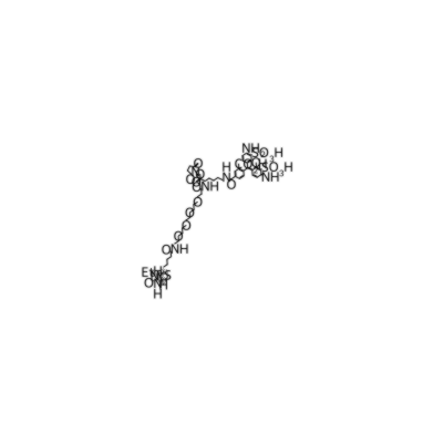 CCN1C(=O)N[C@H]2CS[C@@H](CCCCC(=O)NCCOCCOCCOCCOCCC(=O)NC(CCCCNC(=O)c3ccc(-c4c5ccc(=N)c(S(=O)(=O)O)c-5oc5c(S(=O)(=O)O)c(N)ccc45)c(C(=O)O)c3)C(=O)ON3C(=O)CCC3=O)[C@H]21